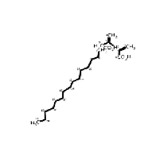 C=C(C)C(=O)O.C=CC(=O)O.CCCCCCCCCCCCCCC